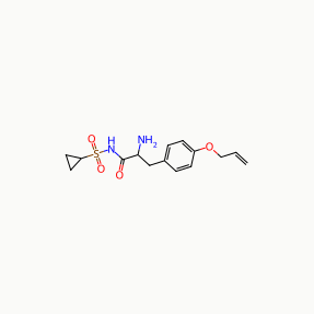 C=CCOc1ccc(CC(N)C(=O)NS(=O)(=O)C2CC2)cc1